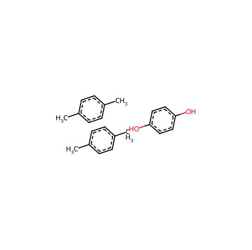 Cc1ccc(C)cc1.Cc1ccc(C)cc1.Oc1ccc(O)cc1